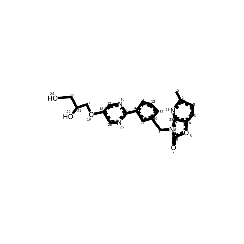 Cc1ccc2oc(=O)n(Cc3cccc(-c4ncc(OCC(O)CO)cn4)c3)c2n1